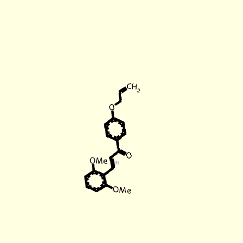 C=CCOc1ccc(C(=O)/C=C/c2c(OC)cccc2OC)cc1